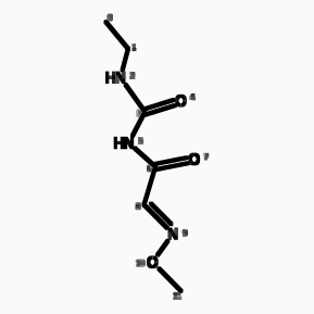 CCNC(=O)NC(=O)C=NOC